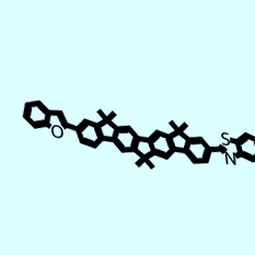 CC1(C)c2cc(-c3cc4ccccc4o3)ccc2-c2cc3c(cc21)-c1cc2c(cc1C3(C)C)-c1ccc(-c3nc4ccccc4s3)cc1C2(C)C